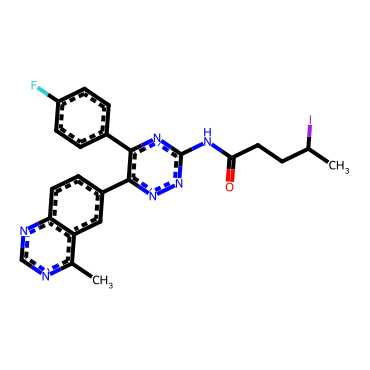 Cc1ncnc2ccc(-c3nnc(NC(=O)CCC(C)I)nc3-c3ccc(F)cc3)cc12